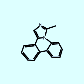 Cc1ncc2c3ccccc3c3ccccc3n12